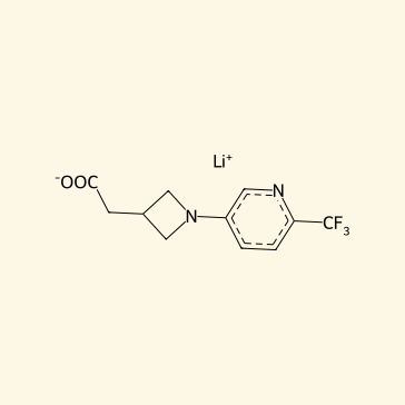 O=C([O-])CC1CN(c2ccc(C(F)(F)F)nc2)C1.[Li+]